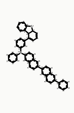 C1=CC2Sc3ccccc3C2C(c2cccc(N(c3ccccc3)c3ccc4cc(-c5ccc6cc(-c7ccccc7)ccc6c5)ccc4c3)c2)=C1